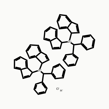 C1=C[CH]([Zr+]([CH]2C=Cc3ccccc32)[CH](c2ccccc2)c2ccccc2)c2ccccc21.C1=C[CH]([Zr+]([CH]2C=Cc3ccccc32)[CH](c2ccccc2)c2ccccc2)c2ccccc21.[Cl-].[H-]